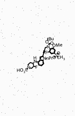 CCCn1c(C#CCN(C(=O)OC(C)(C)C)c2c(F)cc(S(C)(=O)=O)cc2OC)cc2c(NC3CCN(C(=O)O)CC3F)cccc21